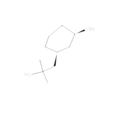 CC(C)(S)C[C@H]1CCC[C@@H](O)C1